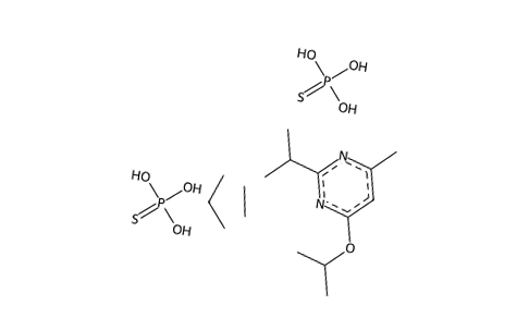 CC.CCC.Cc1cc(OC(C)C)nc(C(C)C)n1.OP(O)(O)=S.OP(O)(O)=S